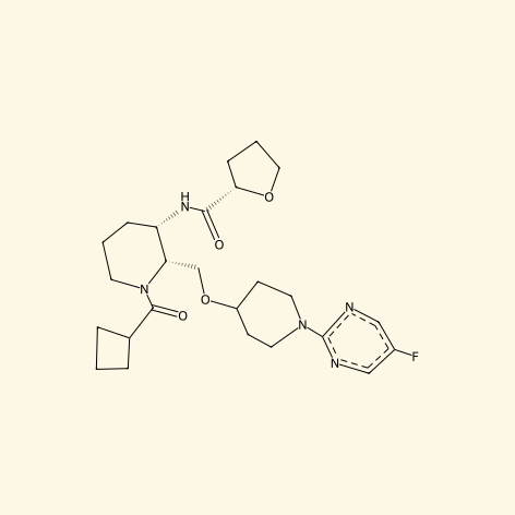 O=C(N[C@H]1CCCN(C(=O)C2CCC2)[C@H]1COC1CCN(c2ncc(F)cn2)CC1)[C@@H]1CCCO1